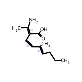 CCC/C=C(C)/C=C\C(C(=O)O)=C(/C)N